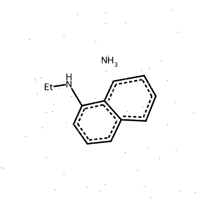 CCNc1cccc2ccccc12.N